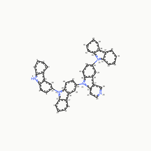 c1ccc2c(c1)[nH]c1ccc(-n3c4ccccc4c4cc(-n5c6ccncc6c6cc(-n7c8ccccc8c8ccccc87)ccc65)ccc43)cc12